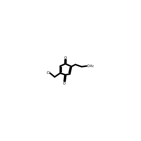 CC(=O)OCCC1=CC(=O)C(CCl)=CC1=O